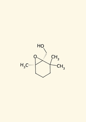 CC1(C)CCC[C@@]2(C)O[C@@]12CO